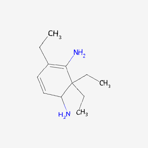 CCC1=C(N)C(CC)(CC)C(N)C=C1